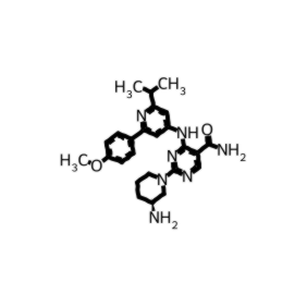 COc1ccc(-c2cc(Nc3nc(N4CCC[C@H](N)C4)ncc3C(N)=O)cc(C(C)C)n2)cc1